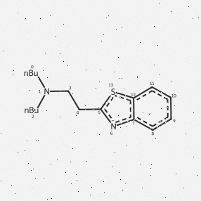 CCCCN(CCCC)CCc1nc2ccccc2s1